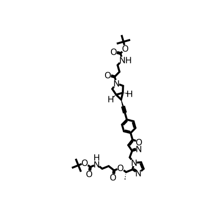 C[C@H](OC(=O)CCNC(=O)OC(C)(C)C)c1nccn1Cc1cc(-c2ccc(C#C[C@H]3[C@H]4CN(C(=O)CCNC(=O)OC(C)(C)C)C[C@@H]34)cc2)on1